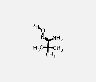 [3H]ON=C(N)C(C)(C)C